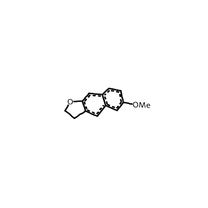 COc1ccc2cc3c(cc2c1)CCO3